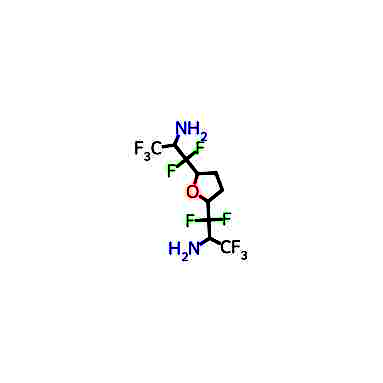 NC(C(F)(F)F)C(F)(F)C1CCC(C(F)(F)C(N)C(F)(F)F)O1